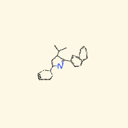 CC(C)C1CC(C2CC=CCC2)N=C1c1ccc2ccccc2c1